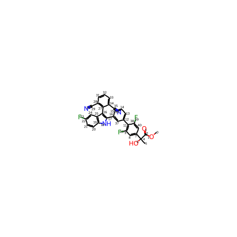 COC(=O)C(C)(O)c1cc(F)c(-c2cccc(-c3[nH]c4ccc(F)cc4c3-c3c(C#N)cccc3C#N)c2)c(F)c1